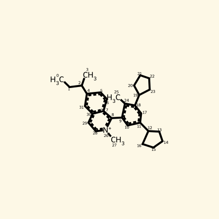 CCC(C)c1ccc2c(-c3cc(C4CCCC4)cc(C4CCCC4)c3C)[n+](C)ccc2c1